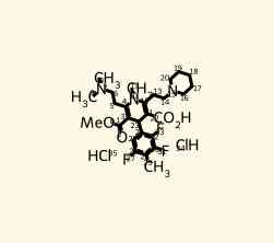 COC(=O)C1=C(CCN(C)C)N(C)C(CCN2CCCCC2)=C(C(=O)O)C1c1cc(F)c(C)c(F)c1F.Cl.Cl